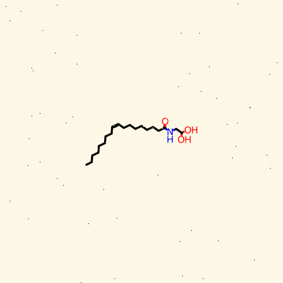 CCCCCCCC/C=C\CCCCCCCC(=O)NCC(O)O